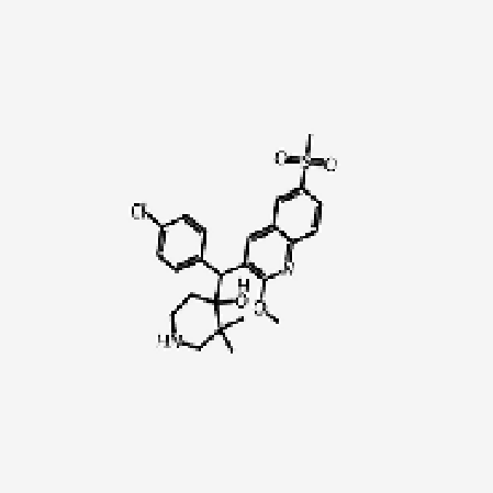 COc1nc2ccc(S(C)(=O)=O)cc2cc1C(c1ccc(Cl)cc1)C1(O)CCNCC1(C)C